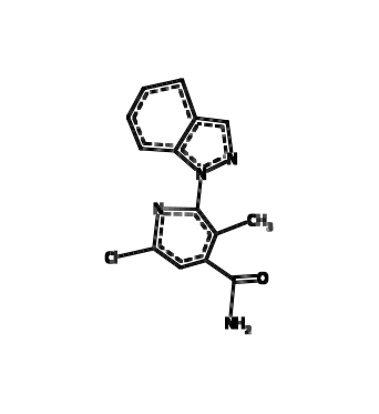 Cc1c(C(N)=O)cc(Cl)nc1-n1ncc2ccccc21